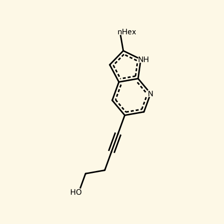 CCCCCCc1cc2cc(C#CCCO)cnc2[nH]1